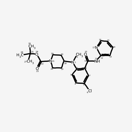 CN(c1ccc(Cl)cc1C(=O)Nc1ccccn1)C1CCN(C(=O)OC(C)(C)C)CC1